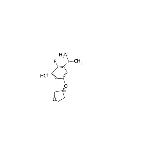 CC(N)c1cc(O[C@H]2CCOC2)ccc1F.Cl